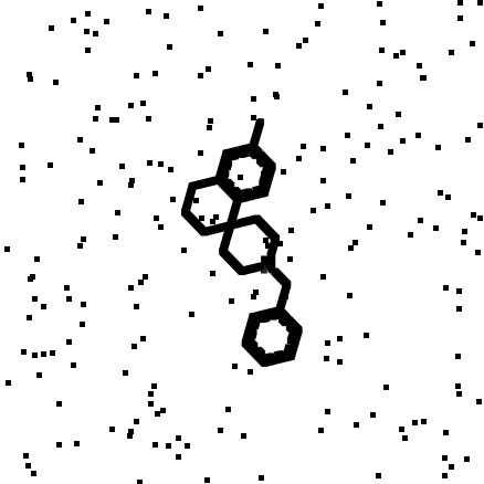 Cc1ccc2c(c1)CCCC21CCN(Cc2ccccc2)CC1